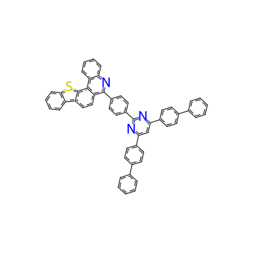 c1ccc(-c2ccc(-c3cc(-c4ccc(-c5ccccc5)cc4)nc(-c4ccc(-c5nc6ccccc6c6c5ccc5c7ccccc7sc56)cc4)n3)cc2)cc1